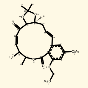 COCOc1cc(OC)cc2c1C(=O)OC(C)C(C(F)(F)F)/C=C\C(=O)C1OC(C)(C)O[C@H]1C/C=C/2